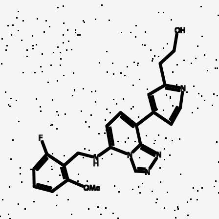 COc1cccc(F)c1CNc1ccc(-c2ccnc(CCO)c2)c2nncn12